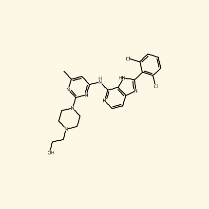 Cc1cc(Nc2nccc3nc(-c4c(Cl)cccc4Cl)[nH]c23)nc(N2CCN(CCO)CC2)n1